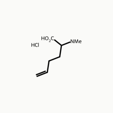 C=CCCC(NC)C(=O)O.Cl